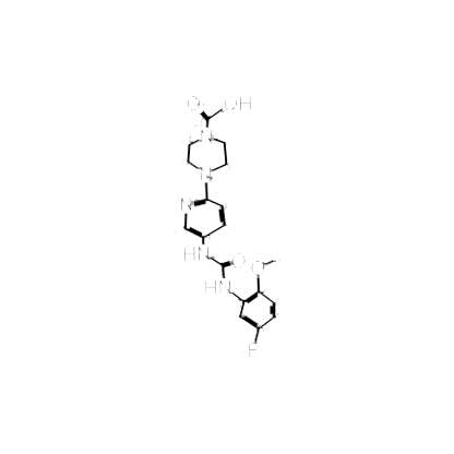 COc1ccc(F)cc1NC(=O)Nc1ccc(N2CCN(C(=O)O)CC2)nc1